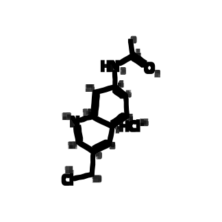 CC(=O)Nc1ccc2cc(CCl)cnc2c1.Cl